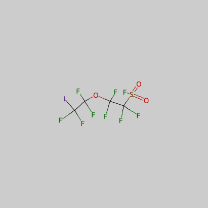 O=S(=O)(F)C(F)(F)C(F)(F)OC(F)(F)C(F)(F)I